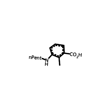 CCCCCNc1cccc(C(=O)O)c1C